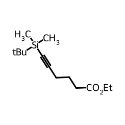 CCOC(=O)CCCC#C[Si](C)(C)C(C)(C)C